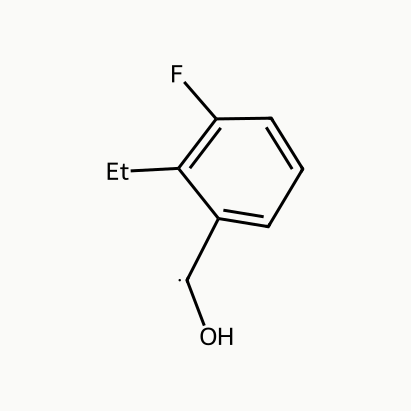 CCc1c(F)cccc1[CH]O